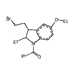 CCOc1ccc2c(c1)C(CCBr)C(CC)N2C(=O)C(C)C